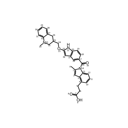 Cc1cc2c(CCC(=O)O)cccc2n1C(=O)c1ccc2[nH]c(OCC3Cc4ccccc4N(C)C3)cc2c1